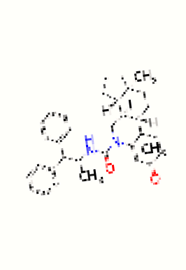 CC(NC(=O)N1C[C@H]2[C@@H]3CCC[C@@]3(C)CC[C@@H]2[C@@]2(C)CCC(=O)C=C12)C(c1ccccc1)c1ccccc1